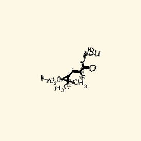 CC(C)(C)SC(=O)C(F)=CC1C(C(=O)O)C1(C)C